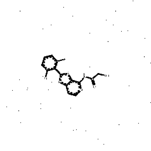 O=C(CO)Nc1nccc2nc(-c3c(F)cccc3Cl)sc12